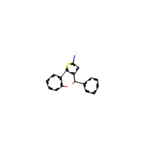 Nc1cc2c(s1)-c1ccccc1OC2c1ccccc1